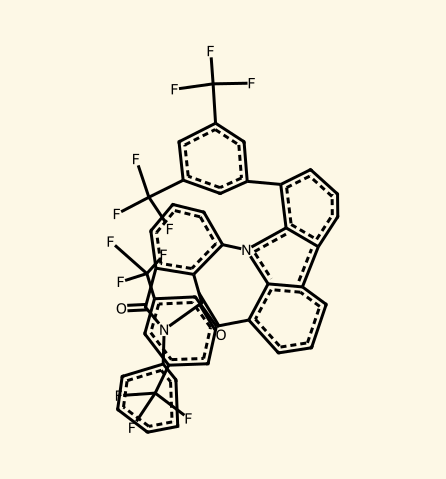 O=C1c2cccc(-n3c4c(-c5cc(C(F)(F)F)cc(C(F)(F)F)c5)cccc4c4cccc(-c5cc(C(F)(F)F)cc(C(F)(F)F)c5)c43)c2C(=O)N1c1ccccc1